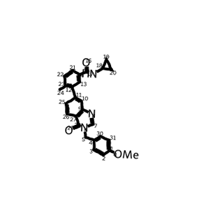 COc1ccc(Cn2cnc3cc(-c4cc(C(=O)NC5CC5)ccc4C)ccc3c2=O)cc1